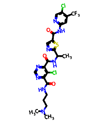 CC(NC(=O)c1ncnc(C(=O)NCCCN(C)C)c1Cl)c1ncc(C(=O)Nc2cc(C(F)(F)F)c(Cl)cn2)s1